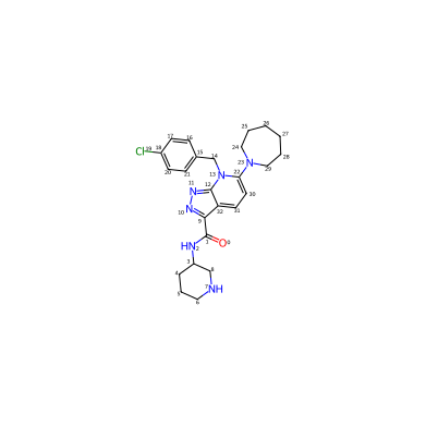 O=C(NC1CCCNC1)c1nnc2n(Cc3ccc(Cl)cc3)c(N3CCCCCC3)ccc1-2